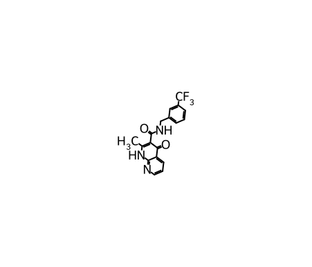 Cc1[nH]c2ncccc2c(=O)c1C(=O)NCc1cccc(C(F)(F)F)c1